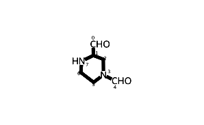 O=CC1CN(C=O)CCN1